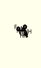 CO[C@H](c1ccc(F)cn1)c1nc(Nc2cc(C)[nH]n2)c2ccccc2n1